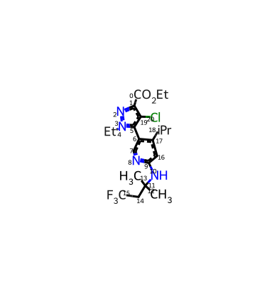 CCOC(=O)c1nn(CC)c(-c2cnc(NC(C)(C)CC(F)(F)F)cc2C(C)C)c1Cl